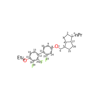 CCCC1CCC2C(COc3ccc(-c4ccc(OCC)c(F)c4F)c(F)c3)CCC12